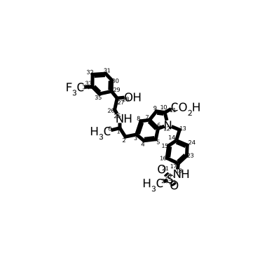 CC(Cc1ccc2c(c1)cc(C(=O)O)n2Cc1ccc(NS(C)(=O)=O)cc1)NCC(O)c1cccc(C(F)(F)F)c1